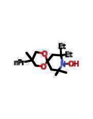 CCCC1(C)COC2(CC(C)(C)N(O)C(CC)(CC)C2)OC1